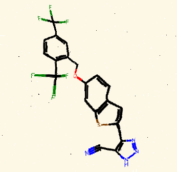 N#Cc1[nH]nnc1-c1cc2ccc(OCc3cc(C(F)(F)F)ccc3C(F)(F)F)cc2s1